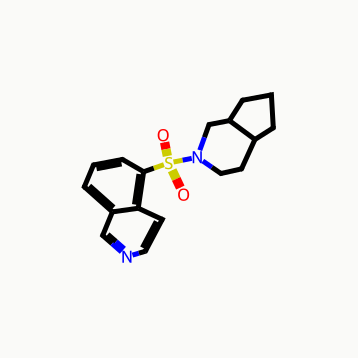 O=S(=O)(c1cccc2cnccc12)N1CCC2CCCC2C1